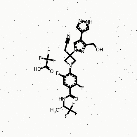 C[C@H](NC(=O)c1cc(F)c(N2CC(CC#N)(n3cc(-c4cn[nH]c4)c(CO)n3)C2)cc1F)C(F)(F)F.O=C(O)C(F)(F)F